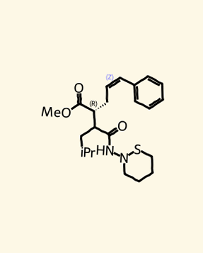 COC(=O)[C@H](C/C=C\c1ccccc1)C(CC(C)C)C(=O)NN1CCCCS1